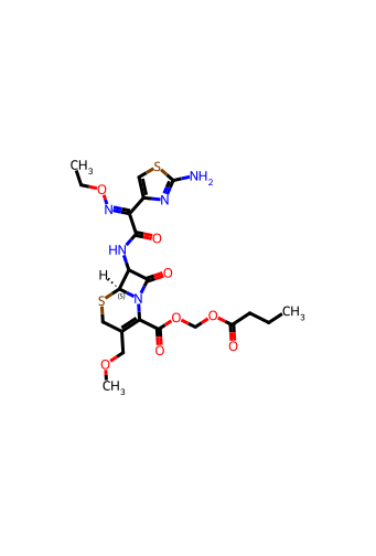 CCCC(=O)OCOC(=O)C1=C(COC)CS[C@H]2C(NC(=O)C(=NOCC)c3csc(N)n3)C(=O)N12